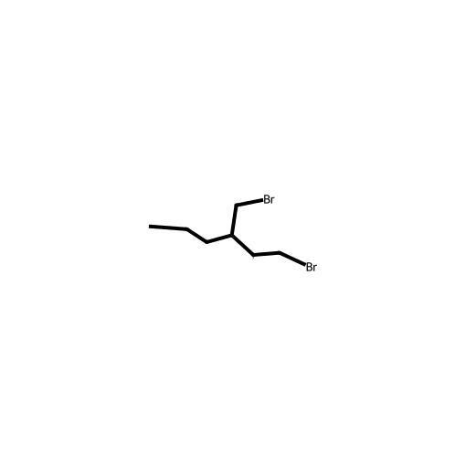 CCCC([CH]CBr)CBr